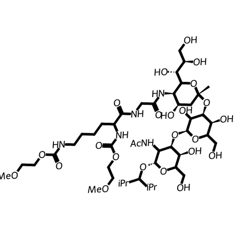 COCCOC(=O)NCCCCC(NC(=O)OCCOC)C(=O)NCC(=O)N[C@H]1C([C@H](O)[C@H](O)CO)O[C@](C)(O[C@@H]2C(O)[C@H](O[C@@H]3C(NC(C)=O)[C@@H](OC(C(C)C)C(C)C)OC(CO)[C@@H]3O)OC(CO)[C@@H]2O)C[C@H]1O